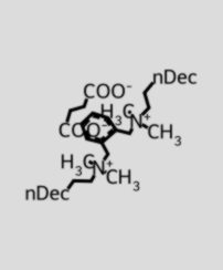 CCCCCCCCCCCC[N+](C)(C)Cc1ccccc1C[N+](C)(C)CCCCCCCCCCCC.O=C([O-])CCC(=O)[O-]